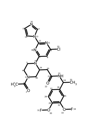 CC(=O)N1CCN(c2cc(Cl)nc(-n3ccnc3)n2)C(CC(=O)NC(C)c2ccc(OF)c(OF)c2)C1